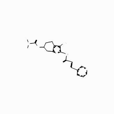 CCN(C)C(=O)OC1CCc2c(sc(NC(=O)C=Cc3cccnc3)c2C#N)C1